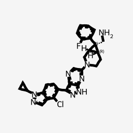 NC[C@]1(c2ccccc2F)[C@@H]2CCN(c3cnc4c(-c5ccc6c(cnn6C6CC6)c5Cl)n[nH]c4n3)C[C@@H]21